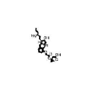 CCC[C@H](O)CC[C@@H]1[C@H]2Cc3cccc(OCC(=O)OC4(CC(=O)O)CC4)c3C[C@H]2C[C@H]1O